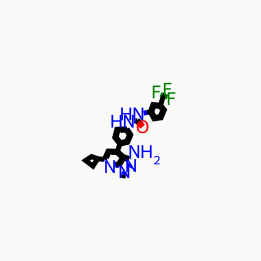 Cn1nc(N)c2c(-c3ccc(NC(=O)Nc4cccc(C(F)(F)F)c4)cc3)cc(C3CCC3)nc21